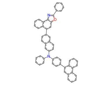 c1ccc(-c2nc3c(cc(-c4ccc5cc(N(c6ccccc6)c6ccc(-c7cc8ccccc8c8ccccc78)cc6)ccc5c4)c4ccccc43)o2)cc1